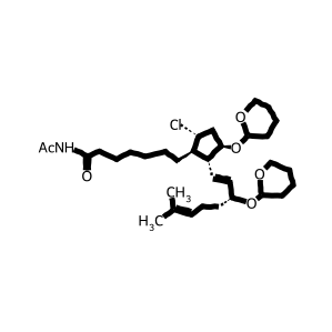 CC(=O)NC(=O)CCCCCC[C@@H]1[C@@H](C=C[C@@H](CCC=C(C)C)OC2CCCCO2)[C@H](OC2CCCCO2)C[C@H]1Cl